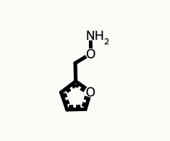 NOCc1ccco1